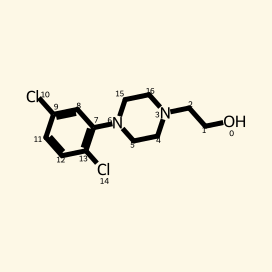 OCCN1CCN(c2cc(Cl)ccc2Cl)CC1